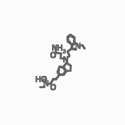 CCN(O)C(=O)/C=C/c1ccc2c(c1)CCC2N(CCC(N)=O)CCc1cn(CC)c2ccccc12